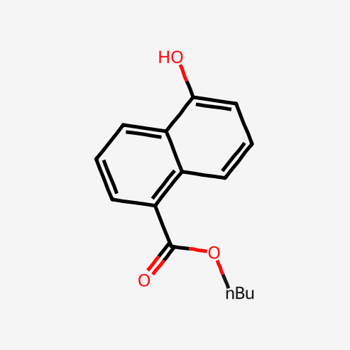 CCCCOC(=O)c1cccc2c(O)cccc12